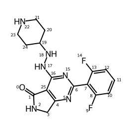 O=C1NCc2nc(-c3c(F)cccc3F)nc(NNC3CCNCC3)c21